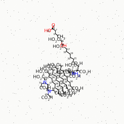 C=C(CC(=O)O)C(=O)O.CCCC(=O)O.CCCCN.O=C(O)CC(=O)O.O=C(O)CCCCCC(=O)O.O=C(O)CCCCCCCCC(=O)O.O=C(O)CCCCCCCCC(=O)O.O=C(O)CCCCCCCCC(=O)O.O=C(O)CCCCCCCCC(=O)O.O=C(O)CN(CCN(CC(=O)O)CC(=O)O)CC(=O)O.O=C(O)CO